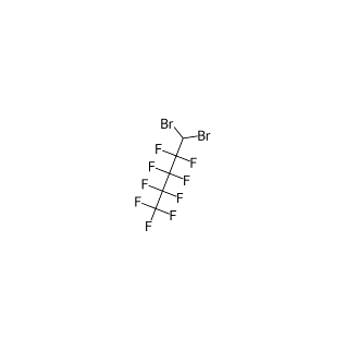 FC(F)(F)C(F)(F)C(F)(F)C(F)(F)C(Br)Br